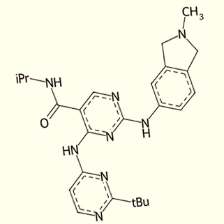 CC(C)NC(=O)c1cnc(Nc2ccc3c(c2)CN(C)C3)nc1Nc1ccnc(C(C)(C)C)n1